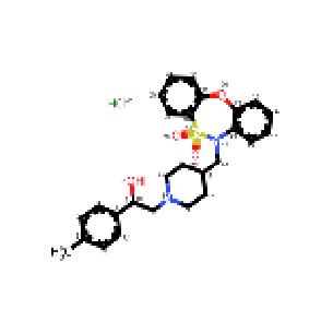 Cc1ccc([C@@H](O)CN2CCC(CN3c4ccccc4Oc4ccccc4S3(=O)=O)CC2)cc1.Cl